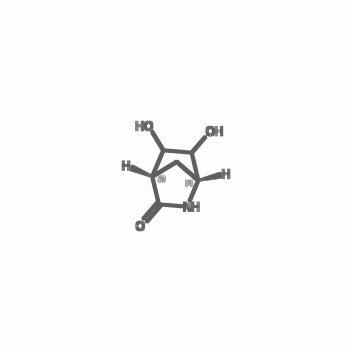 O=C1N[C@@H]2C[C@H]1C(O)C2O